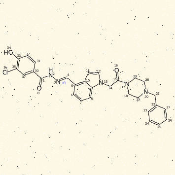 O=C(N/N=C/c1cccc2c1ccn2CC(=O)N1CCN(Cc2ccccc2)CC1)c1ccc(O)c(Cl)c1